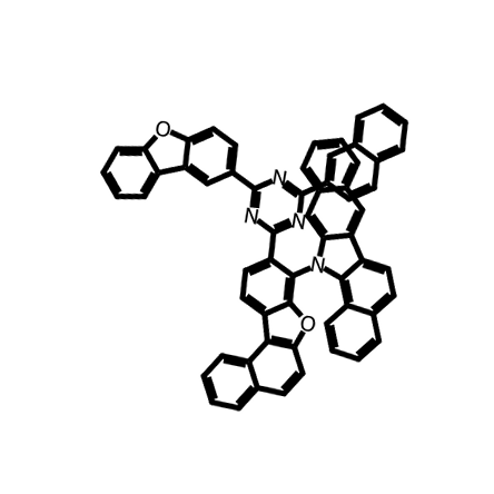 c1ccc2cc(-c3nc(-c4ccc5oc6ccccc6c5c4)nc(-c4ccc5c(oc6ccc7ccccc7c65)c4-n4c5cc6ccccc6cc5c5ccc6ccccc6c54)n3)ccc2c1